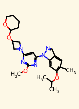 COc1nc(N2CC(OC3CCCCO3)C2)cc(-n2ncc3cc(C)c(OC(C)C)cc32)n1